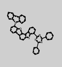 c1ccc(-c2nc(-c3ccccc3)nc(-c3cccc4c3sc3ccc5c6cccc(-n7c8ccccc8c8ccccc87)c6oc5c34)n2)cc1